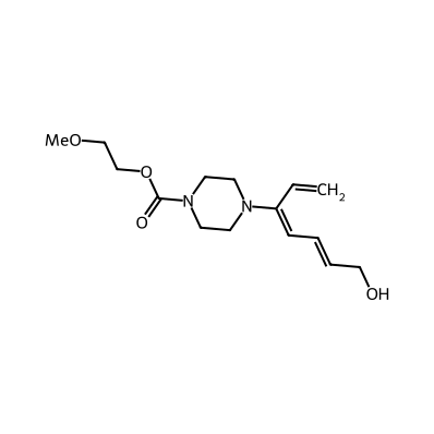 C=C/C(=C\C=C\CO)N1CCN(C(=O)OCCOC)CC1